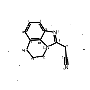 N#CCc1nc2cccc3c2n1CCC3